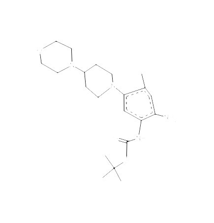 CC(C)(C)OC(=O)Nc1cc(N2CCC(N3CCOCC3)CC2)c(Cl)cc1N